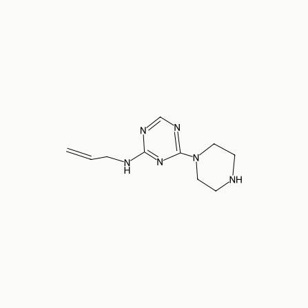 C=CCNc1ncnc(N2CCNCC2)n1